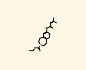 CCOC(=O)N1CCc2ccc(NC(=O)C=C(C)C)cc2CC1